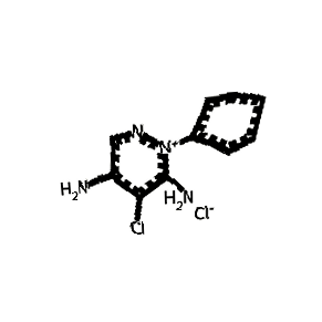 Nc1cn[n+](-c2ccccc2)c(N)c1Cl.[Cl-]